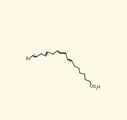 CC/C=C/C/C=C/CC=C=C/C=C/CCCCCCC(=O)O